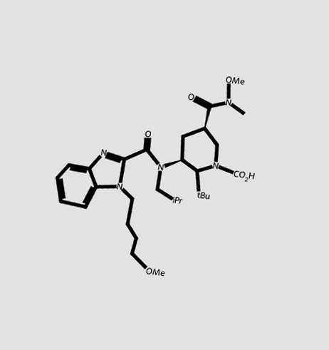 COCCCCn1c(C(=O)N(CC(C)C)[C@H]2C[C@@H](C(=O)N(C)OC)CN(C(=O)O)C2C(C)(C)C)nc2ccccc21